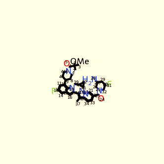 COC(C)(C)C(=O)N1CCC(c2cc(F)cc3cc(-c4nn5cc(C(=O)N6C[C@H](N)C[C@@H](F)C6)ccc5c4C)n(CC4CC4)c23)CC1